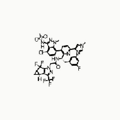 Cn1cnc(-c2ccc(-c3ccc(Cl)c4c(NS(C)(=O)=O)nn(C)c34)c([C@H](Cc3cc(F)cc(F)c3)NC(=O)Cn3nc(C(F)(F)F)c4c3C(F)(F)C3C[C@H]43)n2)c1